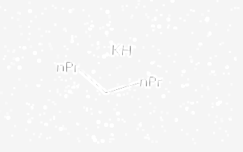 CCCCCCC.[KH]